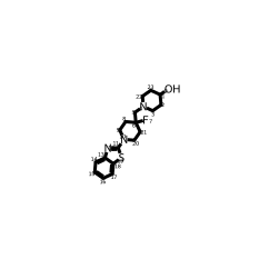 OC1CCN(CC2(F)CCN(c3nc4ccccc4s3)CC2)CC1